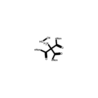 CCCCCCCCCC(=O)C(N)(C(=O)CCCCCCCCC)C(=O)CCCCCCCCC.N#CO